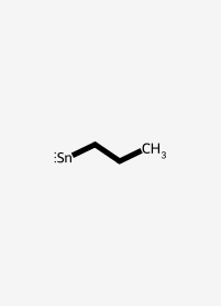 CC[CH2][Sn]